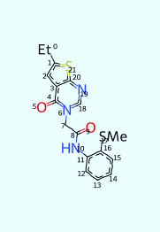 CCc1cc2c(=O)n(CC(=O)Nc3ccccc3SC)cnc2s1